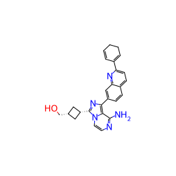 Nc1nccn2c1c(-c1ccc3ccc(C4=CCCC=C4)nc3c1)nc2[C@H]1C[C@@H](CO)C1